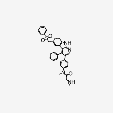 CNCC(=O)N(C)c1ccc(-c2cnc3[nH]c4ccc(CS(=O)(=O)c5ccccc5)cc4c3c2-c2ccccc2)cc1